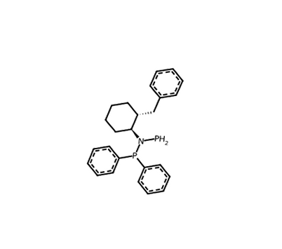 PN([C@H]1CCCC[C@@H]1Cc1ccccc1)P(c1ccccc1)c1ccccc1